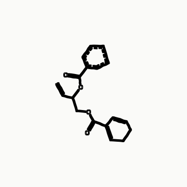 C=CC(COC(=O)C1=CCCC=C1)OC(=O)c1ccccc1